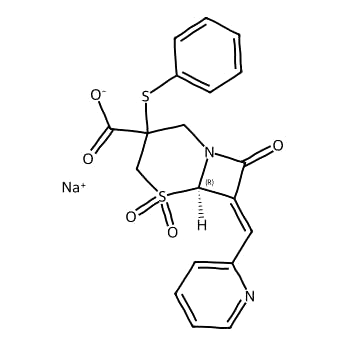 O=C1C(=Cc2ccccn2)[C@@H]2N1CC(Sc1ccccc1)(C(=O)[O-])CS2(=O)=O.[Na+]